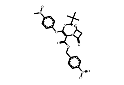 C[S+]([O-])c1ccc(OC(SC(=O)C(C)(C)C)=C(C(=O)OCc2ccc([N+](=O)[O-])cc2)N2C(=O)CC2Cl)cc1